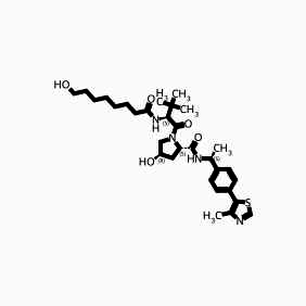 Cc1ncsc1-c1ccc([C@H](C)NC(=O)[C@@H]2C[C@@H](O)CN2C(=O)[C@@H](NC(=O)CCCCCCCO)C(C)(C)C)cc1